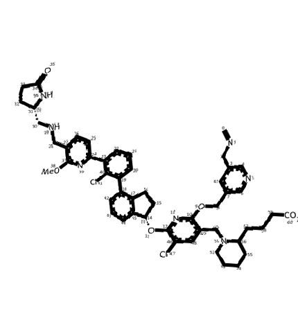 C=NCc1cncc(COc2nc(O[C@H]3CCc4c(-c5cccc(-c6ccc(CNC[C@@H]7CCC(=O)N7)c(OC)n6)c5Cl)cccc43)c(Cl)cc2CN2CCCCC2CCCC(=O)O)c1